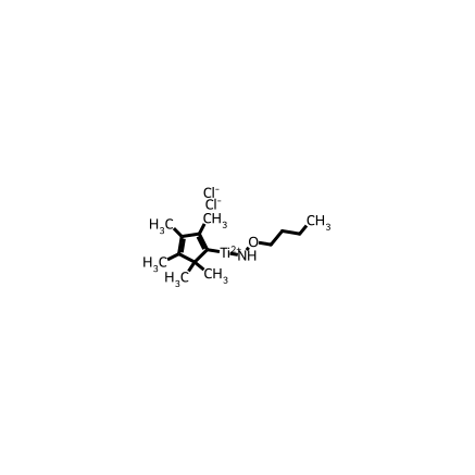 CCCCO[NH][Ti+2][C]1=C(C)C(C)=C(C)C1(C)C.[Cl-].[Cl-]